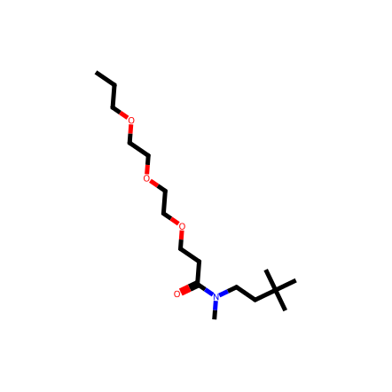 CCCOCCOCCOCCC(=O)N(C)CCC(C)(C)C